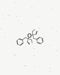 C=CC(CC)(Cc1ccccc1)OC(C=C)(CC)Cc1ccccc1